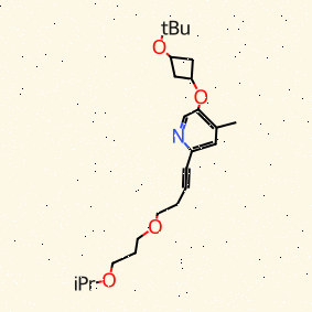 Cc1cc(C#CCCOCCCOC(C)C)ncc1OC1CC(OC(C)(C)C)C1